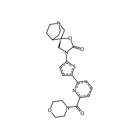 O=C(c1cccc(-c2ccc(N3C[C@@]4(CN5CCC4CC5)OC3=O)s2)n1)N1CCOCC1